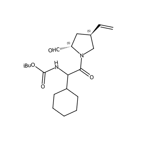 C=C[C@@H]1C[C@@H](C=O)N(C(=O)C(NC(=O)OCC(C)C)C2CCCCC2)C1